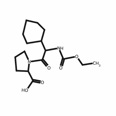 CCOC(=O)NC(C(=O)N1CCCC1C(=O)O)C1CCCCC1